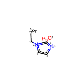 CCCCn1ccnc1.O